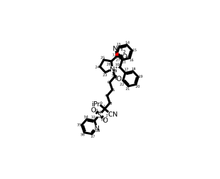 CC(C)C(C#N)(CCCCC(=O)[N@@+]1(C(c2ccccc2)c2ccccc2)CCCC1C(N)=O)S(=O)(=O)c1ccccn1